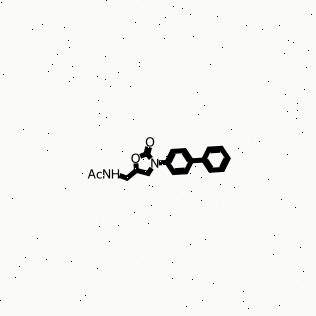 CC(=O)NCC1CN(c2ccc(-c3ccccc3)cc2)C(=O)O1